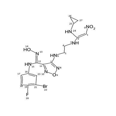 O=[N+]([O-])/C=C(/NCCNc1nonc1/C(=N/O)Nc1ccc(F)c(Br)c1)NC1CC1